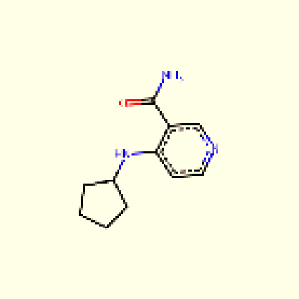 NC(=O)c1cnccc1NC1CCCC1